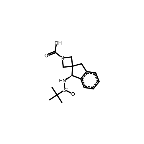 CC(C)(C)[S+]([O-])N[C@@H]1c2ccccc2CC12CN(C(=O)O)C2